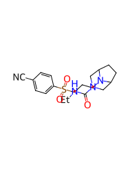 CCNC(=O)N1CC2CCC(C1)N2CCCS(=O)(=O)c1ccc(C#N)cc1